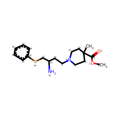 COC(=O)C1(C)CCN(CCC(N)CSc2ccccc2)CC1